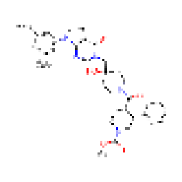 COc1cc(OC)cc(-n2ccc3c(=O)n(CC4(O)CCN(C(=O)[C@@H]5CCN(C(=O)OC(C)(C)C)C[C@H]5c5ccccc5)CC4)cnc32)c1